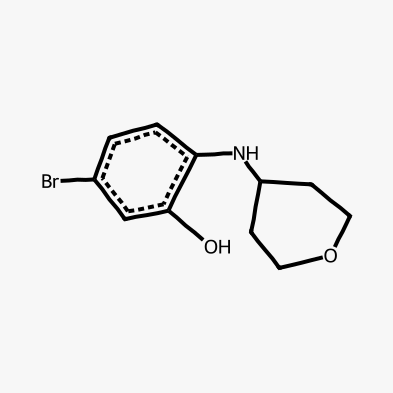 Oc1cc(Br)ccc1NC1CCOCC1